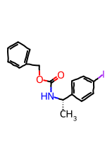 C[C@H](NC(=O)OCc1ccccc1)c1ccc(I)cc1